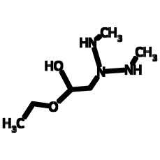 CCOC(O)CN(NC)NC